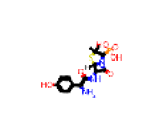 CC1(C)S[C@H]2C(NC(=O)C(N)c3ccc(O)cc3)C(=O)N2C1P(=O)(O)O